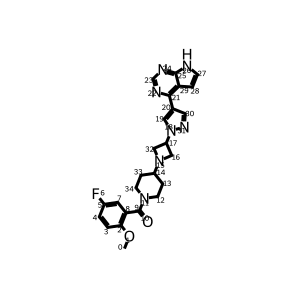 COc1ccc(F)cc1C(=O)N1CCC(N2CC(n3cc(-c4ncnc5[nH]ccc45)cn3)C2)CC1